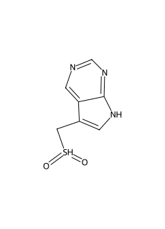 O=[SH](=O)Cc1c[nH]c2ncncc12